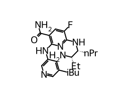 CCC[C@@H](Nc1nc(Nc2cncc(C(C)CC)c2)c(C(N)=O)cc1F)[C@@H](N)CC